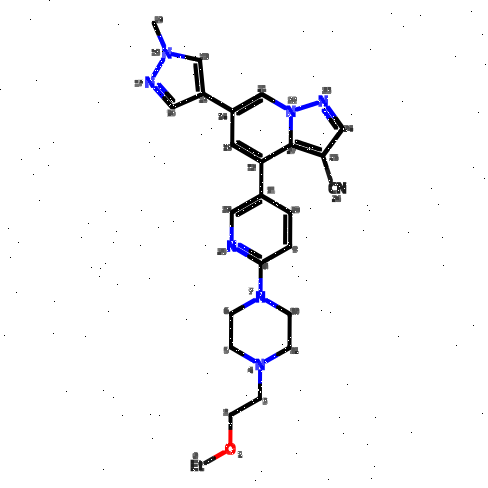 CCOCCN1CCN(c2ccc(-c3cc(-c4cnn(C)c4)cn4ncc(C#N)c34)cn2)CC1